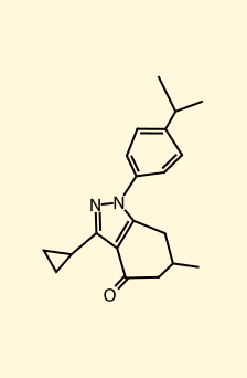 CC1CC(=O)c2c(C3CC3)nn(-c3ccc(C(C)C)cc3)c2C1